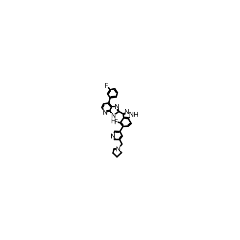 Fc1cccc(-c2ccnc3[nH]c(-c4n[nH]c5ccc(-c6cncc(CN7CCCC7)c6)c(F)c45)nc23)c1